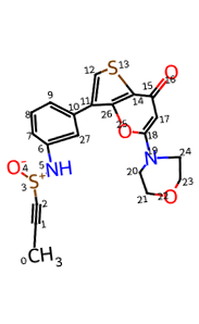 CC#C[S+]([O-])Nc1cccc(-c2csc3c(=O)cc(N4CCOCC4)oc23)c1